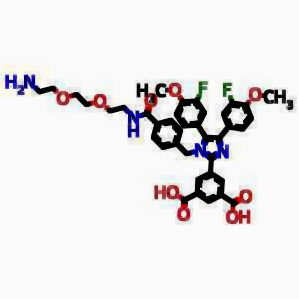 COc1ccc(-c2nc(-c3cc(C(=O)O)cc(C(=O)O)c3)n(Cc3ccc(C(=O)NCCOCCOCCN)cc3)c2-c2ccc(OC)c(F)c2)cc1F